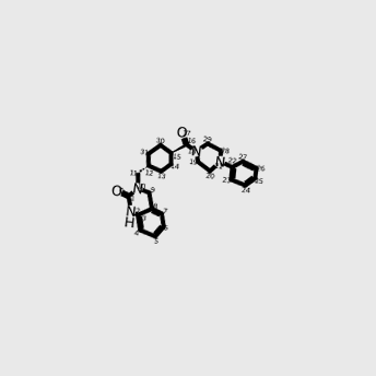 O=C1Nc2ccccc2CN1C[C@H]1CC[C@H](C(=O)N2CCN(c3ccccc3)CC2)CC1